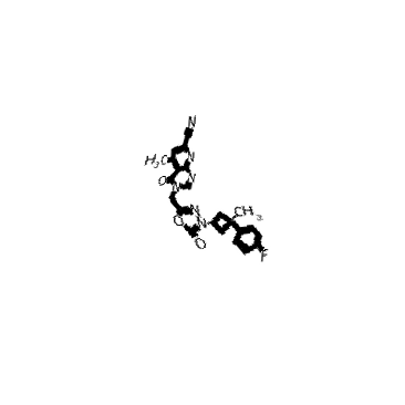 Cc1cc(C#N)nc2ncn(Cc3nn([C@H]4C[C@](C)(c5ccc(F)cc5)C4)c(=O)o3)c(=O)c12